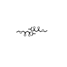 CCOCC(=O)C[C](=O)[Ti]([C](=O)CC(=O)COCC)([CH](C)C)[CH](C)C